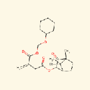 C=C(CC(=O)OC1C(=O)C2(C)CCC1C2(C)CC)C(=O)OCOC1CCCCC1